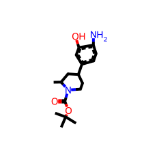 CC1CC(c2ccc(N)c(O)c2)CCN1C(=O)OC(C)(C)C